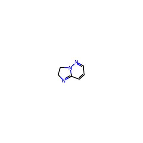 C1=CC2=NCCN2N=C1